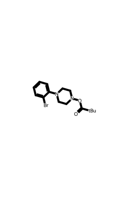 CC(C)(C)C(=O)ON1CCN(c2ccccc2Br)CC1